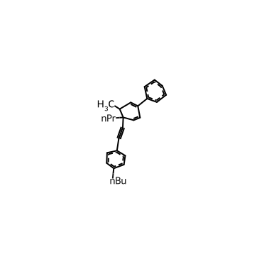 CCCCc1ccc(C#CC2(CCC)C=CC(c3ccccc3)=CC2C)cc1